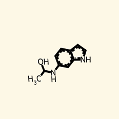 CC(O)Nc1ccc2cc[nH]c2c1